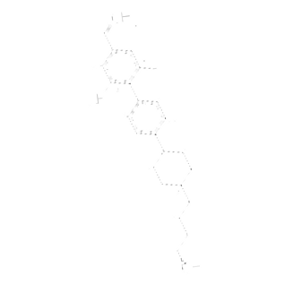 C=Cc1cc(F)c(-c2ccc(C3CCC(CCCCC)CC3)cc2)c(F)c1